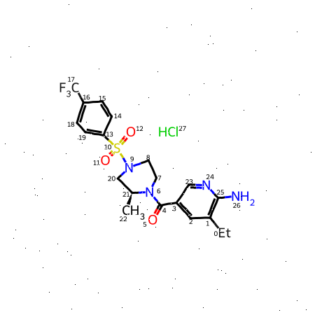 CCc1cc(C(=O)N2CCN(S(=O)(=O)c3ccc(C(F)(F)F)cc3)C[C@@H]2C)cnc1N.Cl